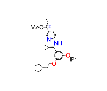 C/C=C(\OC)c1ccc(NC(=C2CC2)c2cc(OCC=C3CCCC3)cc(OC(C)C)c2)nc1